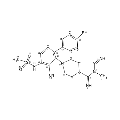 CN(C=N)C(=N)C1CCN(c2c(-c3ccc(F)nc3)ccc(NS(C)(=O)=O)c2C#N)CC1